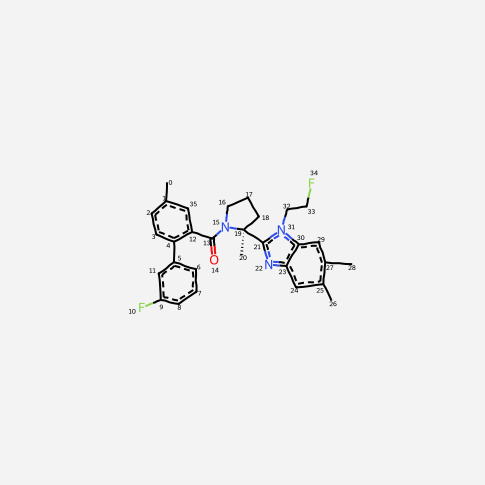 Cc1ccc(-c2cccc(F)c2)c(C(=O)N2CCC[C@@]2(C)c2nc3cc(C)c(C)cc3n2CCF)c1